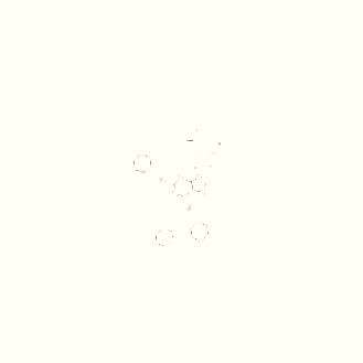 CCNC(=O)[C@H]1O[C@@H](n2cnc3c(NCC(c4ccccc4)c4ccccc4)nc(NCc4cccnc4)nc32)[C@H](O)[C@@H]1O